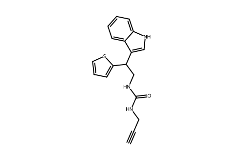 C#CCNC(=O)NCC(c1cccs1)c1c[nH]c2ccccc12